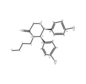 CCCCN1C(=O)CO[C@@H](c2ccc(Cl)cc2)[C@H]1c1ccc(Cl)cc1